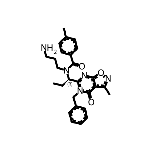 CC[C@H](c1nc2onc(C)c2c(=O)n1Cc1ccccc1)N(CCCN)C(=O)c1ccc(C)cc1